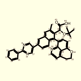 Cc1cc2cc(-c3cnc(-c4ccccc4)nc3)ccc2c(-c2ccc3c4c(ccnc24)CCO3)c1[C@H](OC(C)(C)C)C(=O)O